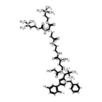 CC(C)(C)[C@H](c1cc(-c2cc(F)ccc2F)cn1Cc1ccccc1)N(CC[C@H](N)C(=O)NCCNC(=O)CC[C@H](NC(=O)OCCS(C)(C)C)C(=O)OCCS(C)(C)C)C(=O)CO